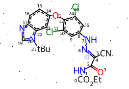 CCOC(=O)NC(=O)/C(C#N)=N/Nc1cc(Cl)c(Oc2ccc3ncn(C(C)(C)C)c3c2)c(Cl)c1